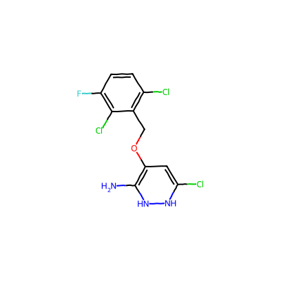 NC1=C(OCc2c(Cl)ccc(F)c2Cl)C=C(Cl)NN1